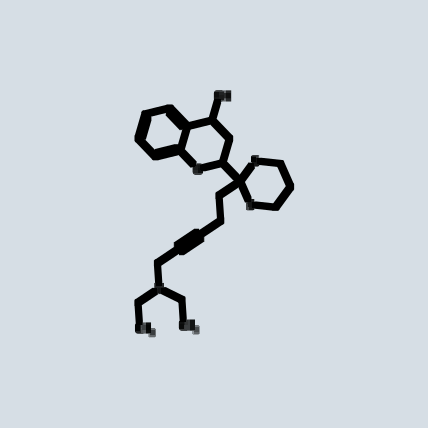 CCN(CC)CC#CCCC1(C2CC(O)c3ccccc3O2)SCCCS1